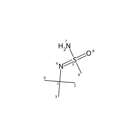 CC(C)(C)N=S(C)(N)=O